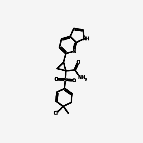 CC1(Cl)C=CC(S(=O)(=O)C2(C(N)=O)CC2c2ccc3cc[nH]c3n2)=CC1